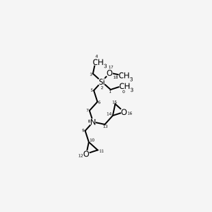 CC[Si](CC)(CCCN(CC1CO1)CC1CO1)OC